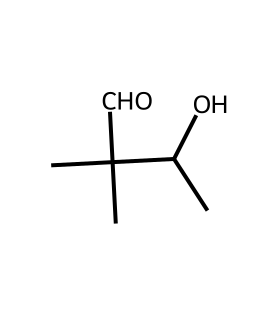 CC(O)C(C)(C)C=O